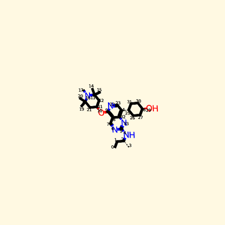 CC[C@@H](C)Nc1ncc2c(OC3CC(C)(C)N(C)C(C)(C)C3)ncc([C@H]3CC[C@H](O)CC3)c2n1